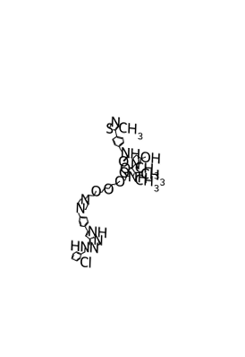 Cc1ncsc1-c1ccc(CNC(=O)[C@@H]2C[C@@H](O)CN2C(=O)C(NC(=O)COCCOCCOCCN2CCN(Cc3ccc(-c4cc5c(NCc6ccccc6Cl)ncnc5[nH]4)cc3)CC2)C(C)(C)C)cc1